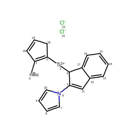 CCCCC1=[C]([Ti+2][CH]2C(n3cccc3)=Cc3ccccc32)CC=C1.[Cl-].[Cl-]